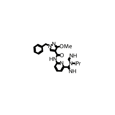 COc1nn(Cc2ccccc2)cc1C(=O)Nc1cccc(C(=N)N(C=N)C(C)C)n1